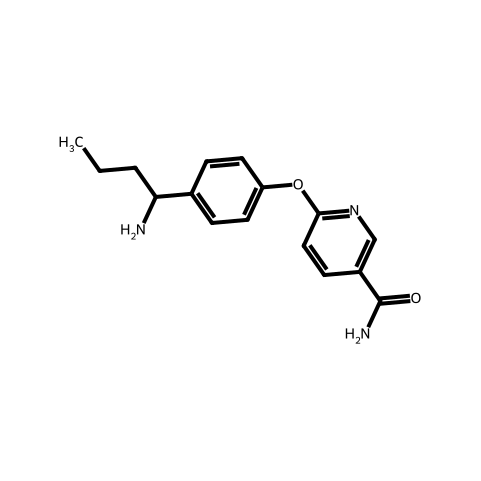 CCCC(N)c1ccc(Oc2ccc(C(N)=O)cn2)cc1